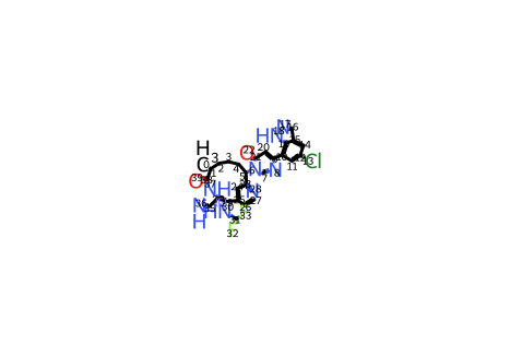 CC1CCCC(n2cnc(-c3cc(Cl)cc4cn[nH]c34)cc2=O)c2cc(ccn2)/C(NC(F)F)=C(/C=N)NC1=O